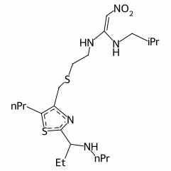 CCCNC(CC)c1nc(CSCCNC(=C[N+](=O)[O-])NCC(C)C)c(CCC)s1